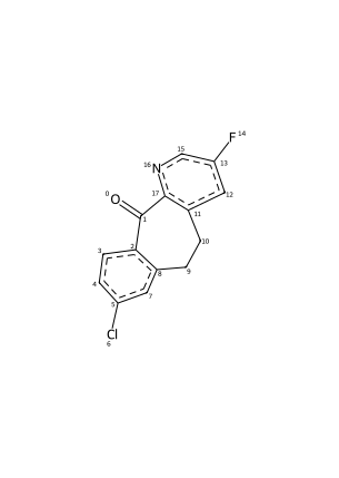 O=C1c2ccc(Cl)cc2CCc2cc(F)cnc21